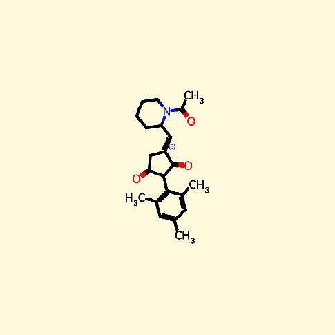 CC(=O)N1CCCCC1/C=C1\CC(=O)C(c2c(C)cc(C)cc2C)C1=O